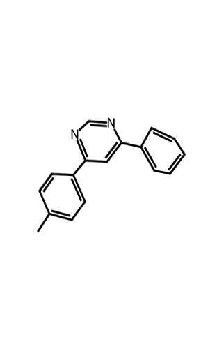 Cc1ccc(-c2cc(-c3ccccc3)ncn2)cc1